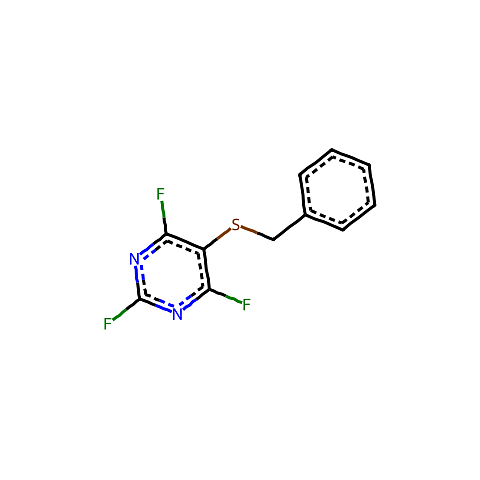 Fc1nc(F)c(SCc2ccccc2)c(F)n1